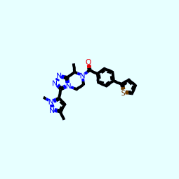 Cc1cc(-c2nnc3n2CCN(C(=O)c2ccc(-c4cccs4)cc2)C3C)n(C)n1